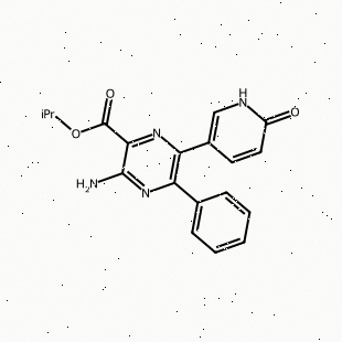 CC(C)OC(=O)c1nc(-c2ccc(=O)[nH]c2)c(-c2ccccc2)nc1N